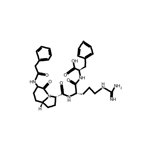 N=C(N)NCCC[C@H](NC(=O)[C@@H]1CC[C@@H]2CCC(NC(=O)Cc3ccccc3)C(=O)N21)C(=O)N[C@H](Cc1ccccc1)C(=O)O